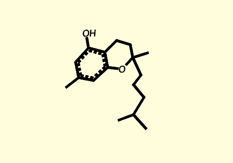 Cc1cc(O)c2c(c1)OC(C)(CCCC(C)C)CC2